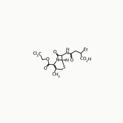 CCC(CC(=O)NC1C(=O)N2C(C(=O)OCC(Cl)(Cl)Cl)=C(C)CS[C@@H]12)C(=O)O